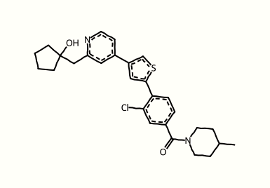 CC1CCN(C(=O)c2ccc(-c3cc(-c4ccnc(CC5(O)CCCC5)c4)cs3)c(Cl)c2)CC1